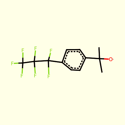 CC(C)([O])c1ccc(C(F)(F)C(F)(F)C(F)(F)F)cc1